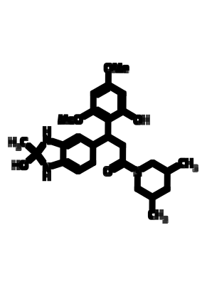 COc1cc(O)c(C(CC(=O)N2CC(C)CC(C)C2)C2C=C3NC(C)(O)NC3=CC2)c(OC)c1